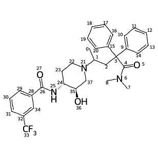 CC(CC(C(=O)N(C)C)(c1ccccc1)c1ccccc1)N1CC[C@@H](NC(=O)c2cccc(C(F)(F)F)c2)[C@H](O)C1